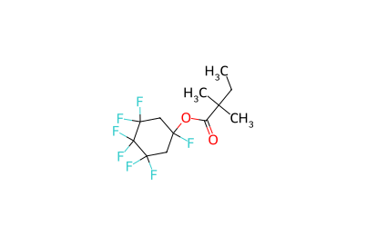 CCC(C)(C)C(=O)OC1(F)CC(F)(F)C(F)(F)C(F)(F)C1